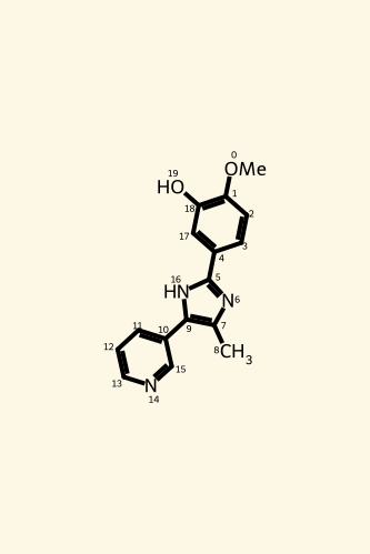 COc1ccc(-c2nc(C)c(-c3cccnc3)[nH]2)cc1O